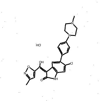 Cc1cc(C(O)=C2C(=O)Nc3cc(Cl)c(-c4ccc(N5CCN(C)CC5)cc4)cc32)on1.Cl